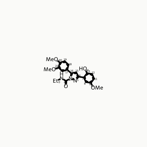 CCNC(=O)n1nc(-c2cc(OC)ccc2O)cc1-c1ccc(OC)c(OC)c1